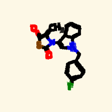 C=C1C(=O)SC(=O)N1c1cn(Cc2ccc(F)cc2)c2ccccc12